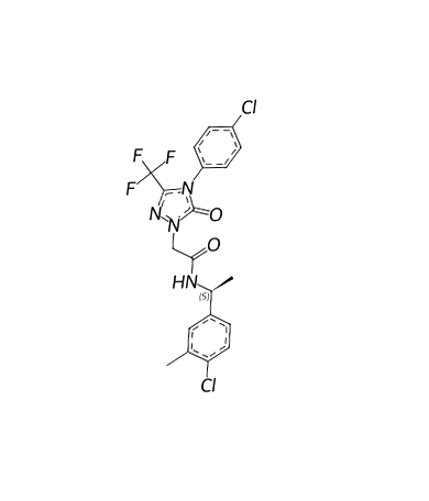 Cc1cc([C@H](C)NC(=O)Cn2nc(C(F)(F)F)n(-c3ccc(Cl)cc3)c2=O)ccc1Cl